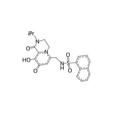 CC(C)N1CCn2c(CNS(=O)(=O)c3cccc4ccccc34)cc(=O)c(O)c2C1=O